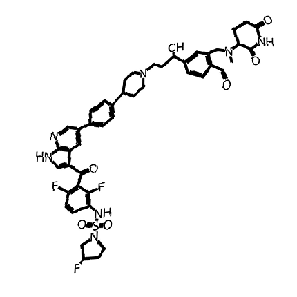 CN(Cc1cc([C@H](O)CCN2CCC(c3ccc(-c4cnc5[nH]cc(C(=O)c6c(F)ccc(NS(=O)(=O)N7CC[C@@H](F)C7)c6F)c5c4)cc3)CC2)ccc1C=O)C1CCC(=O)NC1=O